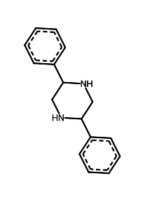 c1ccc(C2CNC(c3ccccc3)CN2)cc1